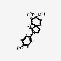 CCC[C@]1(O)CC[C@]2(CCN(c3ccc(C(C)C)cc3)C2=O)CC1